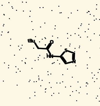 CC(C)(C)CC(=O)Nc1cncs1